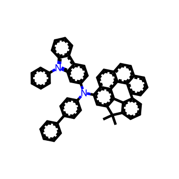 CC1(C)c2cccc3c2-c2c1cc(N(c1ccc(-c4ccccc4)cc1)c1ccc4c5ccccc5n(-c5ccccc5)c4c1)c1ccc4ccc5cccc-3c5c4c21